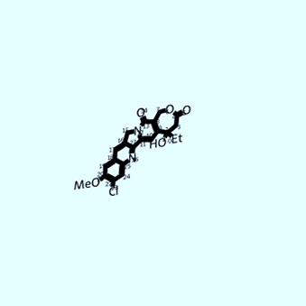 CCC1(O)CC(=O)OCc2c1cc1n(c2=O)Cc2cc3cc(OC)c(Cl)cc3nc2-1